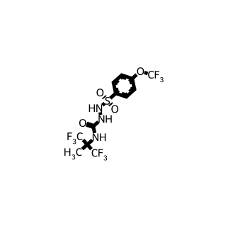 CC(NC(=O)NNS(=O)(=O)c1ccc(OC(F)(F)F)cc1)(C(F)(F)F)C(F)(F)F